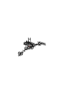 C=CC(=O)OCCCCCCOc1ccc(C(=O)Oc2ccc(C#Cc3ccc(CCCC)cc3)cc2/C=N/Nc2nc3ccccc3s2)cc1